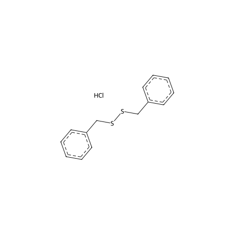 Cl.c1ccc(CSSCc2ccccc2)cc1